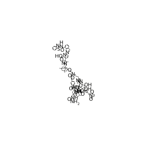 Cc1c(-c2ccc(N3CCc4cccc(C(=O)Nc5nc6ccccc6s5)c4C3)nc2C(=O)O)cnn1CC12CC3(C)CC(C)(C1)CC(OCCN(CCCc1cn(C[C@@H]4O[C@H](C(=O)O)[C@@H](O)[C@H](O)[C@H]4O)nn1)C(=O)OCc1ccc(NC(=O)[C@H](CCCNC(N)=O)NC(=O)[C@@H](NC(=O)CCCCCN4C(=O)C=CC4=O)C(C)C)cc1)(C3)C2